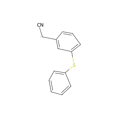 N#C[CH]c1cccc(Sc2ccccc2)c1